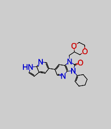 O=c1n(CC2COCCO2)c2cc(-c3cnc4[nH]ccc4c3)cnc2n1C1=CCCCC1